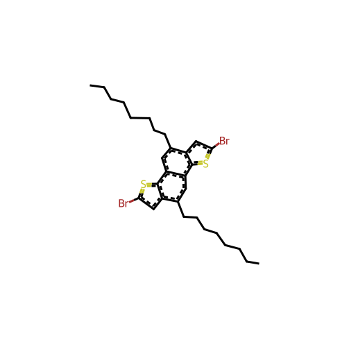 CCCCCCCCc1cc2c(cc(CCCCCCCC)c3cc(Br)sc32)c2sc(Br)cc12